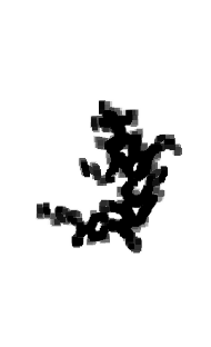 COC(=O)C1CCN(C(=O)c2ccc(Cl)c(Cn3cc(C)c4cc(C(F)(F)F)cc(C)c43)c2Cl)CC1